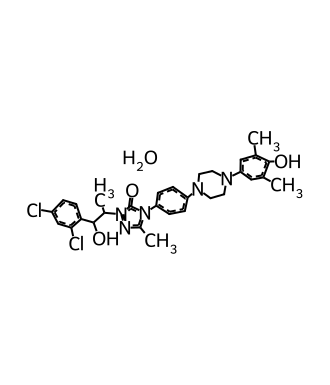 Cc1cc(N2CCN(c3ccc(-n4c(C)nn(C(C)C(O)c5ccc(Cl)cc5Cl)c4=O)cc3)CC2)cc(C)c1O.O